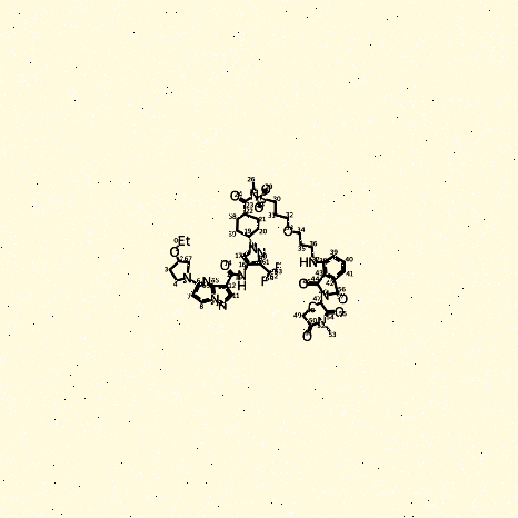 CCOC1CCN(c2ccn3ncc(C(=O)Nc4cn([C@H]5CC[C@H](C(=O)N(C)S(=O)(=O)CCCOCCCNc6cccc7c6C(=O)N(C6CCC(=O)N(C)C6=O)C7=O)CC5)nc4C(F)F)c3n2)C1